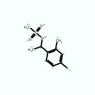 Cc1cc(F)ccc1C(C)OS(C)(=O)=O